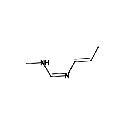 C/C=C/N=C\NC